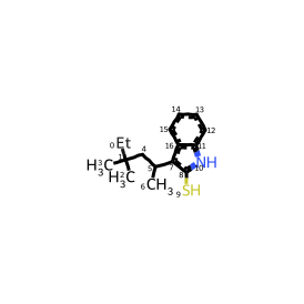 [CH2]CC(C)(C)CC(C)c1c(S)[nH]c2ccccc12